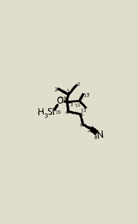 CC(C)C(CCCC#N)(O[SiH3])C(C)C